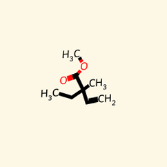 C=CC(C)(CC)C(=O)OC